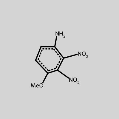 COc1ccc(N)c([N+](=O)[O-])c1[N+](=O)[O-]